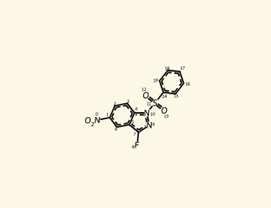 O=[N+]([O-])c1ccc2c(c1)c(F)nn2S(=O)(=O)c1ccccc1